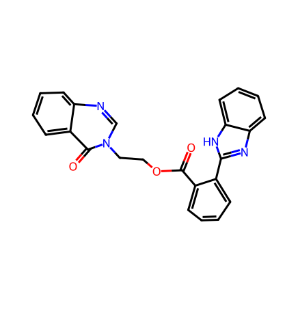 O=C(OCCn1cnc2ccccc2c1=O)c1ccccc1-c1nc2ccccc2[nH]1